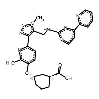 Cc1nc(-c2nnn(C)c2CNc2nccc(-c3ccccn3)n2)ccc1O[C@H]1CCC[C@H](C(=O)O)C1